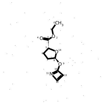 CCOC(=O)[C@H]1CC[C@H](OC2=NC=C2)O1